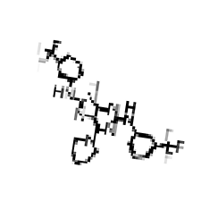 FC(F)(F)c1cccc(Nc2nc(N3CCCCC3)c3nc(Nc4cccc(C(F)(F)F)c4)[nH]c3n2)c1